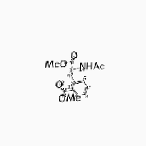 COC(=O)/C(=C/c1ccccc1C(=O)OC)NC(C)=O